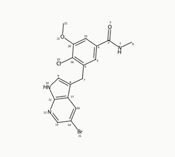 CNC(=O)c1cc(Cc2c[nH]c3ncc(Br)cc23)c(Cl)c(OC)c1